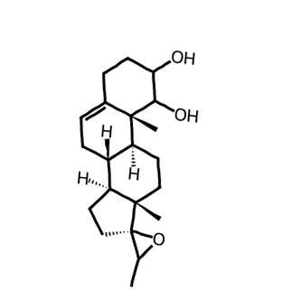 CC1O[C@@]12CC[C@H]1[C@@H]3CC=C4CCC(O)C(O)[C@]4(C)[C@H]3CC[C@@]12C